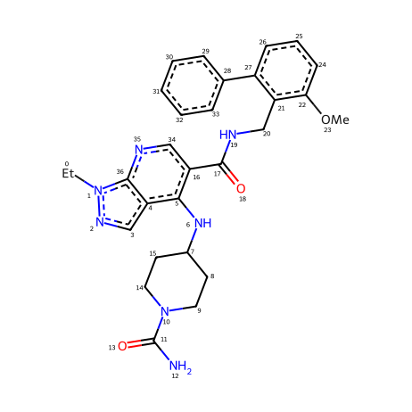 CCn1ncc2c(NC3CCN(C(N)=O)CC3)c(C(=O)NCc3c(OC)cccc3-c3ccccc3)cnc21